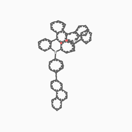 c1ccc(-c2ccc(N(c3ccc(-c4ccc5c(ccc6ccccc65)c4)cc3)c3ccccc3-c3cc4oc5ccccc5c4c4ccccc34)cc2)cc1